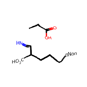 CCC(=O)O.CCCCCCCCCCCCC(C=N)C(=O)O